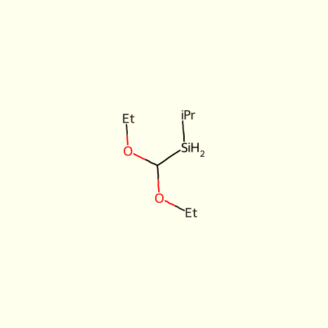 CCOC(OCC)[SiH2]C(C)C